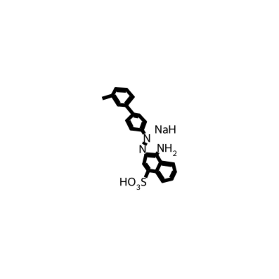 Cc1cccc(-c2ccc(N=Nc3cc(S(=O)(=O)O)c4ccccc4c3N)cc2)c1.[NaH]